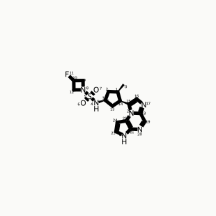 C[C@@H]1C[C@H](NS(=O)(=O)N2CC(F)C2)C[C@@H]1c1cnc2cnc3[nH]ccc3n12